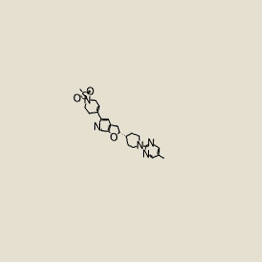 Cc1cnc(N2CCC([C@H]3Cc4cc(C5=CCN(S(C)(=O)=O)CC5)ncc4O3)CC2)nc1